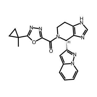 CC1(c2nnc(C(=O)N3CCc4[nH]cnc4[C@@H]3c3cc4ccccn4n3)o2)CC1